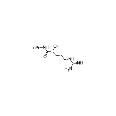 CCCNC(=O)C(O)CCCNC(=N)N